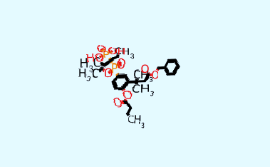 CCCC(=O)Oc1ccc(P(=O)(OCC)C(CC)(CC)P(=O)(O)O)cc1C(C)(C)CC(=O)OCc1ccccc1